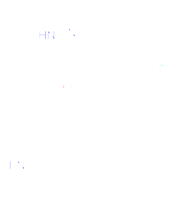 NCc1cccc(Oc2c[nH]nc2-c2ccc(F)cc2)c1